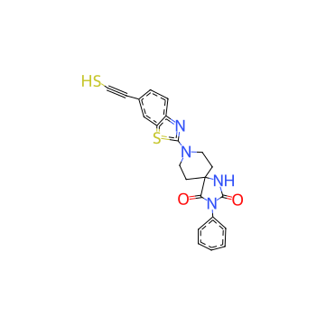 O=C1NC2(CCN(c3nc4ccc(C#CS)cc4s3)CC2)C(=O)N1c1ccccc1